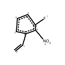 C=Cc1cccc(F)c1[N+](=O)[O-]